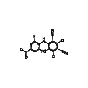 N#Cc1c(Cl)c(Cl)c(Nc2c(F)cc([N+](=O)[O-])cc2F)c(C#N)c1Cl